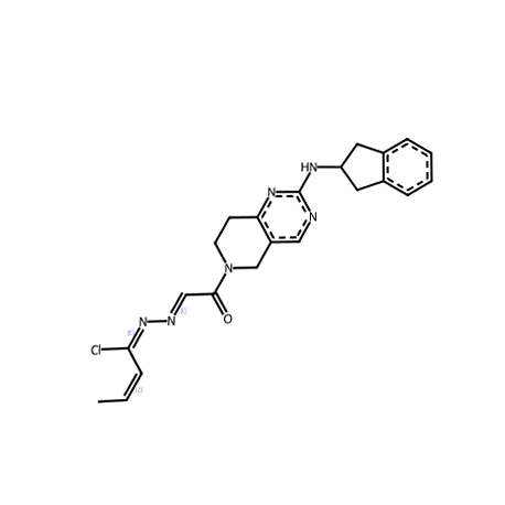 C\C=C/C(Cl)=N\N=C\C(=O)N1CCc2nc(NC3Cc4ccccc4C3)ncc2C1